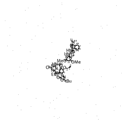 C#CCOc1cc(-n2nc(C(C)(C)C)oc2=O)c(Cl)cc1Cl.CCNc1nc(Cl)nc(NC(C)C)n1.COc1cc(OC)nc(NC(=O)NS(=O)(=O)c2ncccc2C(=O)N(C)C)n1